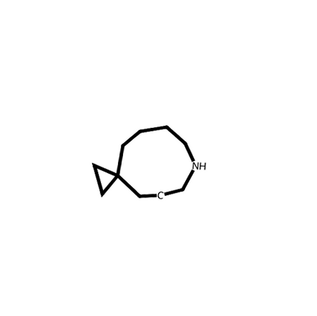 C1CCC2(CCCNC1)CC2